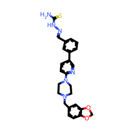 NC(=S)NN=Cc1cccc(-c2ccc(N3CCN(Cc4ccc5c(c4)OCO5)CC3)nc2)c1